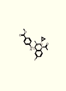 COC(=O)c1ccc(N[C@H]2c3cc(F)ccc3N(C(C)=O)[C@@H](C3CC3)[C@@H]2C)cc1